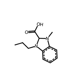 CCCN1c2ccccc2N(C)C1C(=O)O